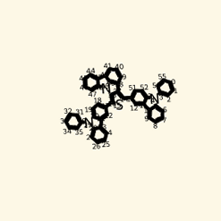 c1ccc(-n2c3ccccc3c3cc(-c4sc(-c5ccc6c(c5)c5ccccc5n6-c5ccccc5)c5c4c4cccc6c7ccccc7n5c64)ccc32)cc1